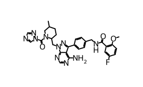 COc1ccc(F)cc1C(=O)NCc1ccc(-c2nn(CC3CCC(C)CN3C(=O)n3cncn3)c3ncnc(N)c23)cc1